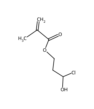 C=C(C)C(=O)OCCC(O)Cl